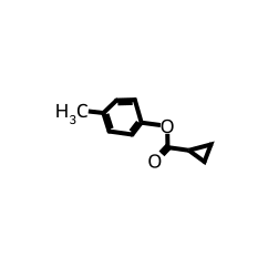 Cc1ccc(OC(=O)C2CC2)cc1